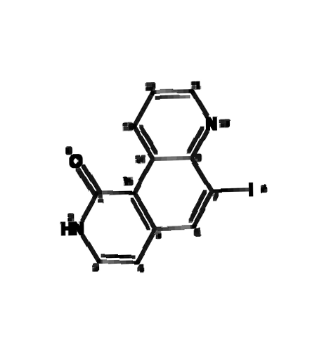 O=c1[nH]ccc2cc(I)c3ncccc3c12